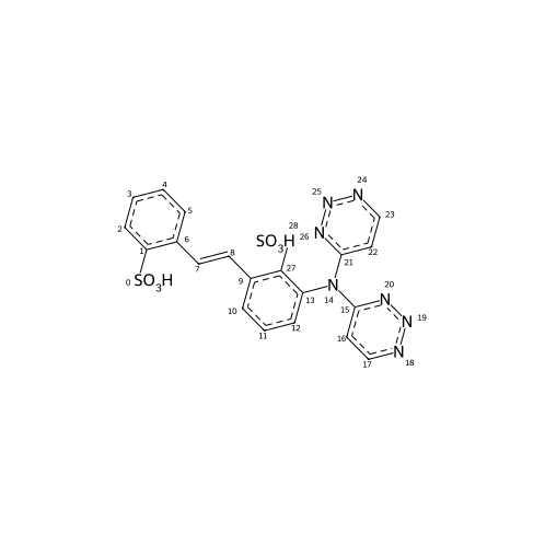 O=S(=O)(O)c1ccccc1C=Cc1cccc(N(c2ccnnn2)c2ccnnn2)c1S(=O)(=O)O